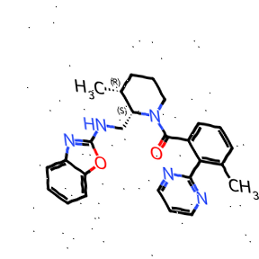 Cc1cccc(C(=O)N2CCC[C@@H](C)[C@H]2CNc2nc3ccccc3o2)c1-c1ncccn1